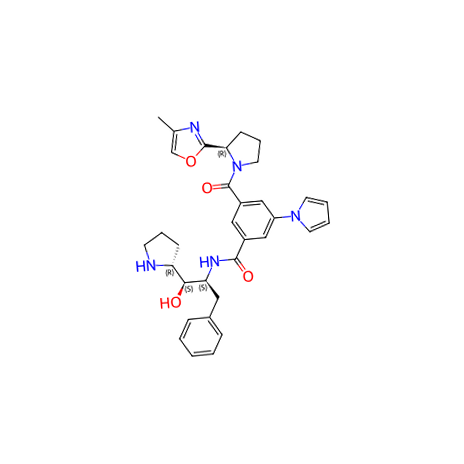 Cc1coc([C@H]2CCCN2C(=O)c2cc(C(=O)N[C@@H](Cc3ccccc3)[C@@H](O)[C@H]3CCCN3)cc(-n3cccc3)c2)n1